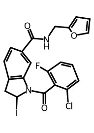 O=C(NCc1ccco1)c1ccc2c(c1)N(C(=O)c1c(F)cccc1Cl)C(I)C2